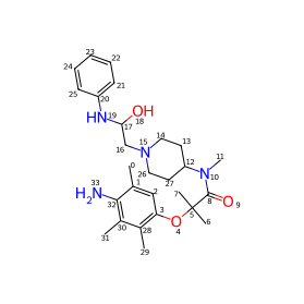 Cc1cc(OC(C)(C)C(=O)N(C)C2CCN(CC(O)Nc3ccccc3)CC2)c(C)c(C)c1N